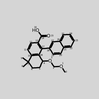 COCOC1CCC(C)(C)c2ccc(C(=O)O)c(-c3ccc4ccccc4c3)c21